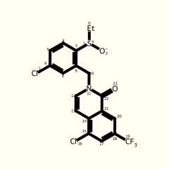 CC[S+]([O-])c1ccc(Cl)cc1Cn1ccc2c(Cl)cc(C(F)(F)F)cc2c1=O